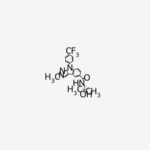 Cn1cc2c3cc(C(=O)NCC(C)(C)O)ccc3n(-c3ccc(C(F)(F)F)cc3)c2n1